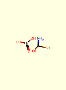 NC(O)S.[O]=[Ti]([OH])[OH]